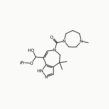 CC(C)OC(O)C1=CN(C(=O)N2CCCN(C)CC2)CC(C)(C)c2cn[nH]c21